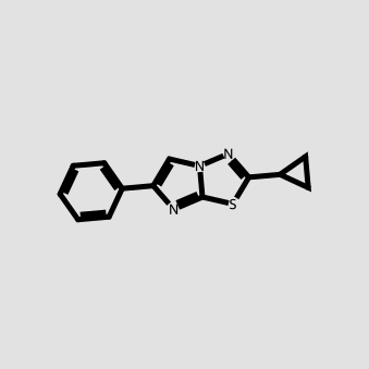 c1ccc(-c2cn3nc(C4CC4)sc3n2)cc1